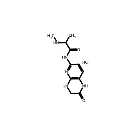 CNC(C)C(=O)Nc1ccc2c(n1)NCC(=O)N2.Cl